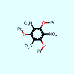 CC(C)Oc1c([N+](=O)[O-])c(OC(C)C)c([N+](=O)[O-])c(OC(C)C)c1[N+](=O)[O-]